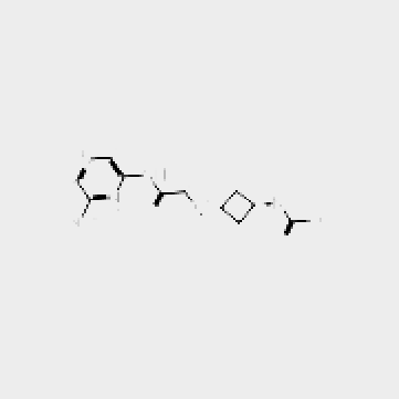 O=C(CN[C@H]1C[C@H](NC(=O)O)C1)Nc1cncc(Br)n1